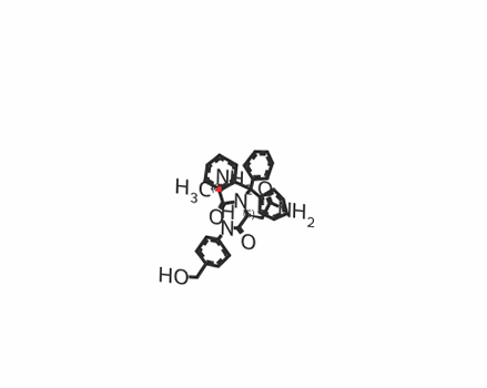 C[C@H](N)C(=O)N([C@@H](CC(N)=O)C(=O)Nc1ccc(CO)cc1)C(c1ccccc1)(c1ccccc1)c1ccccc1